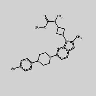 CC(=O)c1ccc(N2CCN(c3ccc4cc(C)n(C5CC(N(C)C(=O)OC(C)(C)C)C5)c4n3)CC2)cc1